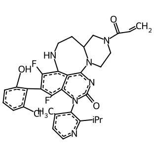 C=CC(=O)N1CCN2c3nc(=O)n(-c4c(C)ccnc4C(C)C)c4c(F)c(-c5c(O)cccc5Cl)c(F)c(c34)NCCC2C1